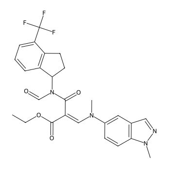 CCOC(=O)/C(=C/N(C)c1ccc2c(cnn2C)c1)C(=O)N(C=O)C1CCc2c1cccc2C(F)(F)F